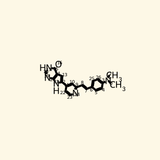 CN(C)c1ccc(C=Cc2cc(-c3cc4c(=O)[nH]cnc4[nH]3)ccn2)cc1